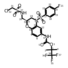 CC(C)(OC(=O)Nc1ccc2c(c1)N(S(=O)(=O)c1ccc(F)cc1)C[C@H](CNS(=O)(=O)CCl)O2)C(F)(F)F